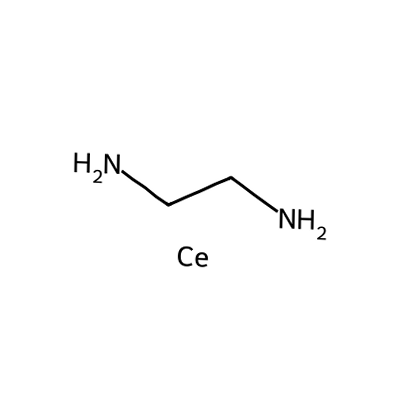 NCCN.[Ce]